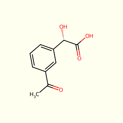 CC(=O)c1cccc([C@H](O)C(=O)O)c1